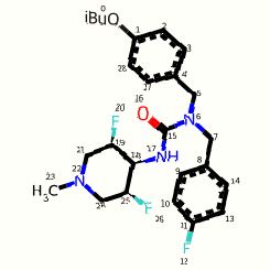 CC(C)COc1ccc(CN(Cc2ccc(F)cc2)C(=O)N[C@@H]2[C@H](F)CN(C)C[C@@H]2F)cc1